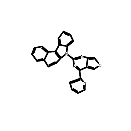 c1ccc(-c2nc(-n3c4ccccc4c4c5ccccc5ccc43)nc3cocc23)nc1